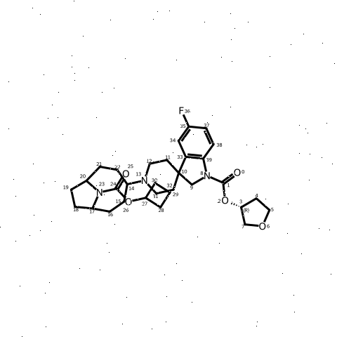 O=C(O[C@@H]1CCOC1)N1CC2(CCN(C3CCC4CCC(CC3)N4C(=O)OC3CCC3)CC2)c2cc(F)ccc21